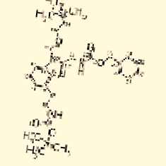 CC(C)(C)OC(=O)NCCc1cccc2c1nc(CNC(=O)OCc1ccccc1)n2COCC[Si](C)(C)C